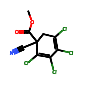 COC(=O)C1(C#N)CC(Cl)=C(Cl)C(Cl)=C1Cl